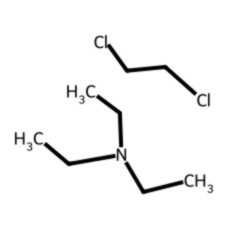 CCN(CC)CC.ClCCCl